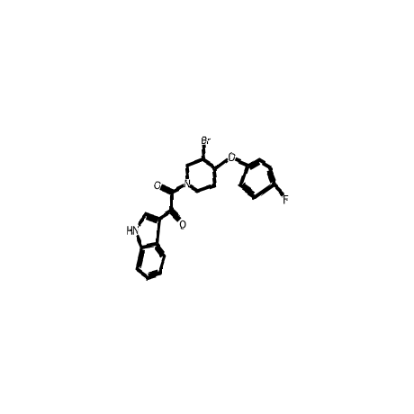 O=C(C(=O)N1CCC(Oc2ccc(F)cc2)C(Br)C1)c1c[nH]c2ccccc12